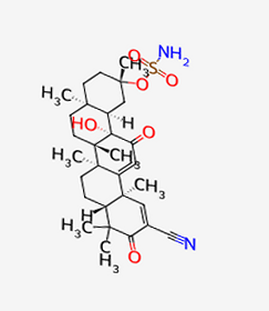 CC1(C)C(=O)C(C#N)=C[C@]2(C)C3=CC(=O)[C@]4(O)[C@@H]5C[C@@](C)(OS(N)(=O)=O)CC[C@]5(C)CC[C@@]4(C)[C@]3(C)CC[C@@H]12